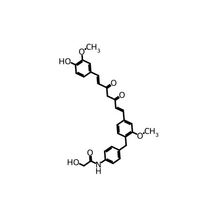 COc1cc(C=CC(=O)CC(=O)C=Cc2ccc(Cc3ccc(NC(=O)CO)cc3)c(OC)c2)ccc1O